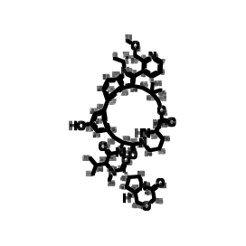 CCn1c(-c2cccnc2[C@H](C)OC)c2c3cc(ccc31)-c1cc(O)cc(c1)C[C@H](NC(=O)C(C(C)C)N(C)C(=O)[C@H]1C[C@@H]3COCC(=O)N3C1)C(=O)N1CCC[C@H](N1)C(=O)OCC(C)(C)C2